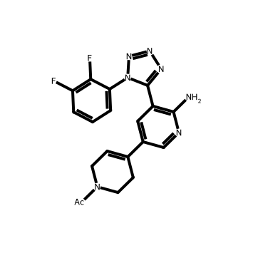 CC(=O)N1CC=C(c2cnc(N)c(-c3nnnn3-c3cccc(F)c3F)c2)CC1